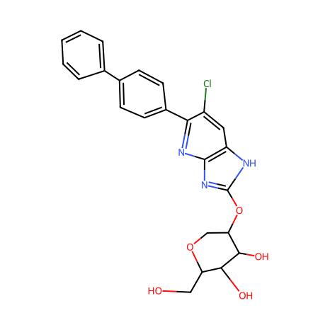 OCC1OCC(Oc2nc3nc(-c4ccc(-c5ccccc5)cc4)c(Cl)cc3[nH]2)C(O)C1O